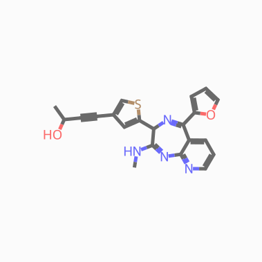 CNC1=Nc2ncccc2C(c2ccco2)=NC1c1cc(C#CC(C)O)cs1